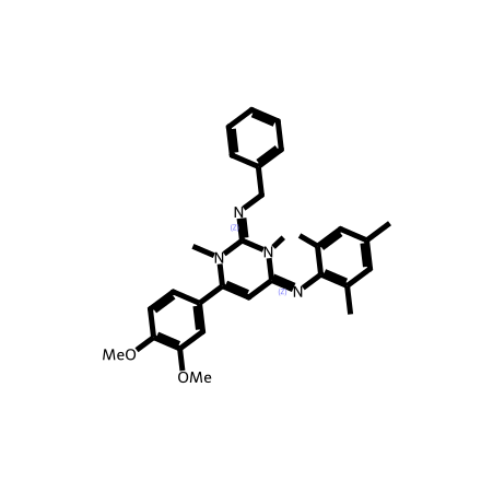 COc1ccc(-c2c/c(=N/c3c(C)cc(C)cc3C)n(C)/c(=N\Cc3ccccc3)n2C)cc1OC